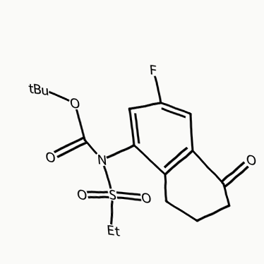 CCS(=O)(=O)N(C(=O)OC(C)(C)C)c1cc(F)cc2c1CCCC2=O